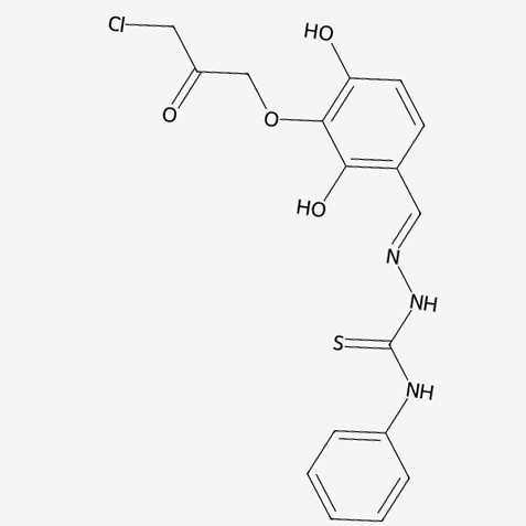 O=C(CCl)COc1c(O)ccc(/C=N/NC(=S)Nc2ccccc2)c1O